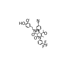 COc1cc(CCNC(=O)C2C(=O)N(c3cccc(C(F)(F)F)c3)C(C)=C(C(C)=O)C2c2ccc(C#N)cc2)ccc1O